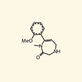 COc1ccccc1C1=CCNCC(=O)N1C